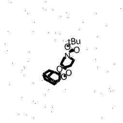 CC(C)(C)OC(=O)N1CCC2(CC1)OOC1(O2)C2CC3CC(C2)CC1C3